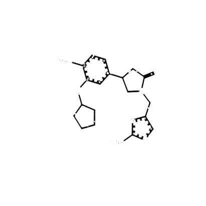 COc1ccc(C2CC(=O)N(Cc3csc(NC(C)=O)n3)C2)cc1OC1CCCC1